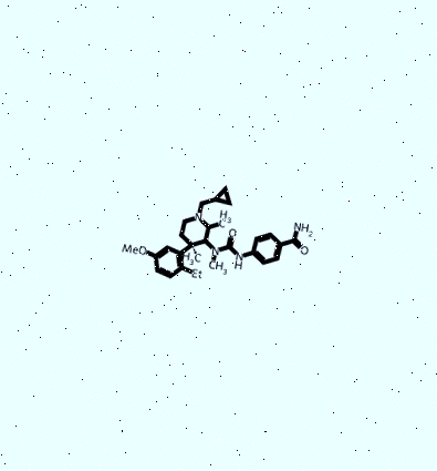 CCc1ccc(OC)cc1[C@@]1(C)CCN(CC2CC2)C(C)C1N(C)C(=O)Nc1ccc(C(N)=O)cc1